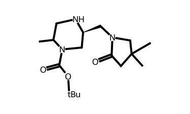 CC1CN[C@@H](CN2CC(C)(C)CC2=O)CN1C(=O)OC(C)(C)C